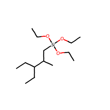 CCO[Si](CC(C)C(CC)CC)(OCC)OCC